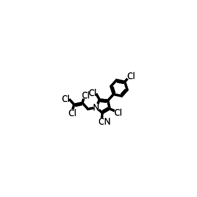 N#Cc1c(Cl)c(-c2ccc(Cl)cc2)c(Cl)n1CC(Cl)=C(Cl)Cl